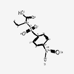 CCN(C(=O)O)S(=O)(=O)c1ccc([N+](=O)[O-])cc1